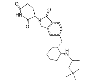 CC(CC(C)(C)C)N[C@H]1CCCC[C@@H]1Cc1ccc2c(c1)CN(C1CCC(=O)NC1=O)C2=O